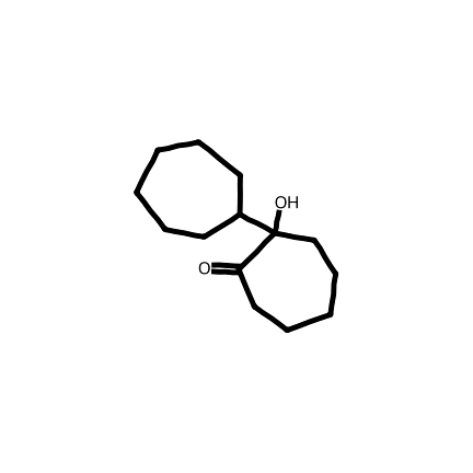 O=C1CCCCCC1(O)C1CCCCCC1